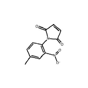 Cc1ccc(N2C(=O)C=CC2=O)c([N+](=O)[O-])c1